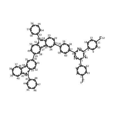 Fc1ccc(-c2nc(-c3ccc(F)cc3)nc(-c3ccc(-c4ccc5c(c4)c4cc(-c6ccc7c(c6)c6ccccc6n7-c6ccccc6)ccc4n5-c4ccccc4)cc3)n2)cc1